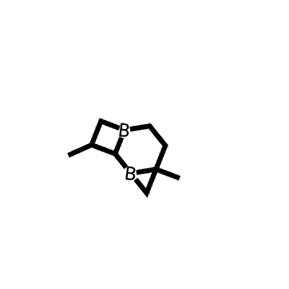 CC1CB2CCC3(C)CB3C21